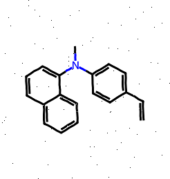 C=Cc1ccc(N(C)c2cccc3ccccc23)cc1